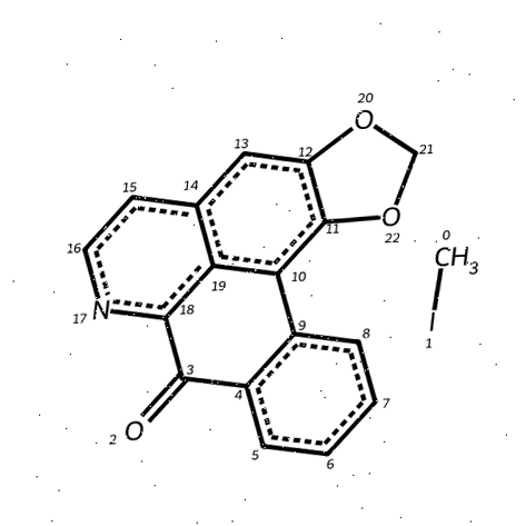 CI.O=C1c2ccccc2-c2c3c(cc4ccnc1c24)OCO3